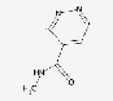 CNC(=O)c1[c]nncc1